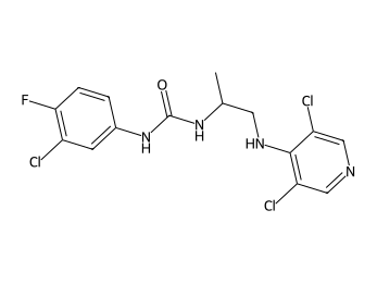 CC(CNc1c(Cl)cncc1Cl)NC(=O)Nc1ccc(F)c(Cl)c1